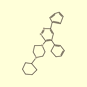 C1=CCCC(c2cc(-c3ccccc3)nnc2N2CCN(C3CCCCC3)CC2)=C1